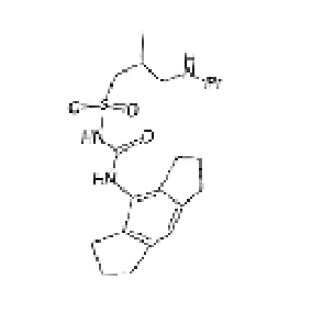 CC(CNC(C)C)CS(=O)(=O)NC(=O)Nc1c2c(cc3c1CCC3)CCC2